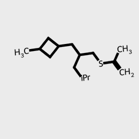 C=C(C)SCC(CC(C)C)CC1CC(C)C1